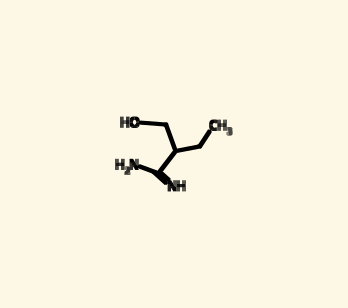 CCC(CO)C(=N)N